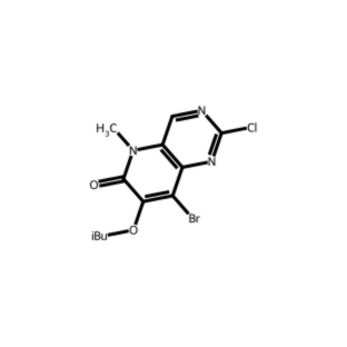 CCC(C)Oc1c(Br)c2nc(Cl)ncc2n(C)c1=O